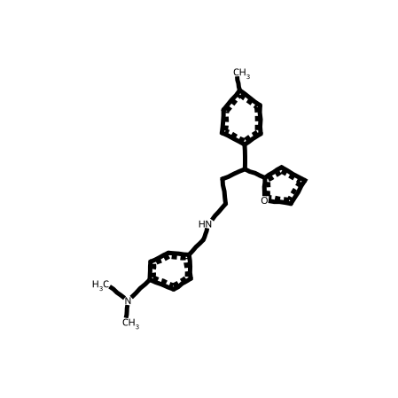 Cc1ccc(C(CCNCc2ccc(N(C)C)cc2)c2ccco2)cc1